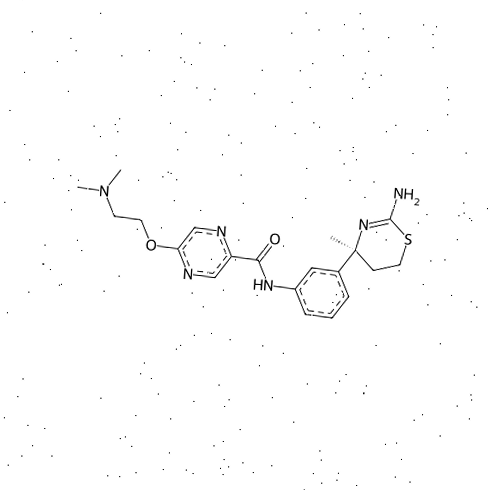 CN(C)CCOc1cnc(C(=O)Nc2cccc([C@]3(C)CCSC(N)=N3)c2)cn1